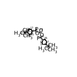 CC(C)(C)c1ccc(C(F)OC(=O)OC(F)c2ccc(C(C)(C)C)cc2)cc1